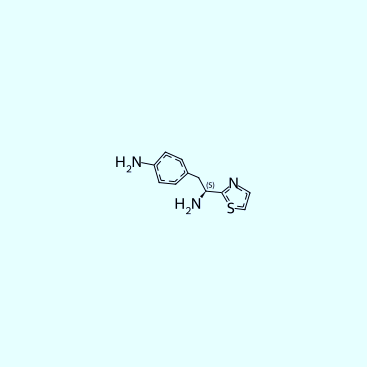 Nc1ccc(C[C@H](N)c2nccs2)cc1